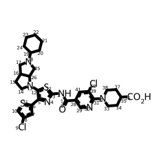 O=C(Nc1nc(-c2cc(Cl)cs2)c(N2CCC3CN(C4CCCCC4)CC32)s1)c1cnc(N2CCC(C(=O)O)CC2)c(Cl)c1